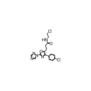 O=C(CCc1oc(-n2cncn2)nc1-c1ccc(Cl)cc1)NCCCl